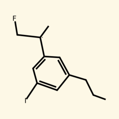 CCCc1cc(I)cc([C](C)CF)c1